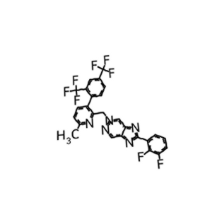 Cc1ccc(-c2ccc(C(F)(F)F)cc2C(F)(F)F)c(Cn2cc3nc(-c4cccc(F)c4F)nc-3cn2)n1